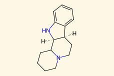 c1ccc2c(c1)N[C@@H]1C3CCCCN3CC[C@H]21